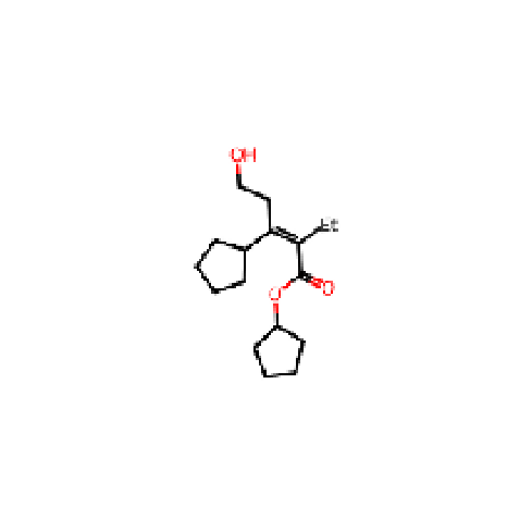 CCC(C(=O)OC1CCCC1)=C(CCO)C1CCCC1